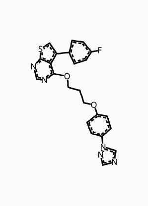 Fc1ccc(-c2csc3ncnc(OCCCOc4ccc(-n5cncn5)cc4)c23)cc1